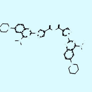 CCN(CC)c1nc(-n2cc(C(=O)OC(=O)c3cnn(-c4nc(N(C)C)c5cc(N6CCCCC6)ccc5n4)c3)cn2)nc2ccc(N3CCCCC3)cc12